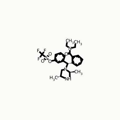 CCN(CC)C(=O)c1ccccc1[C@@H](c1cccc(OS(=O)(=O)C(F)(F)F)c1)N1C[C@@H](C)NC[C@@H]1C